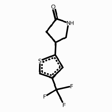 O=C1CC(c2cc(C(F)(F)F)cs2)CN1